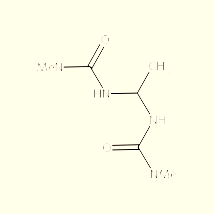 CNC(=O)NC(C)NC(=O)NC